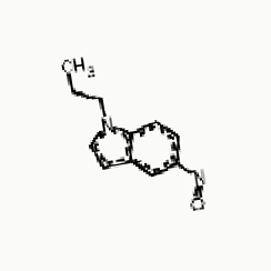 CCCn1ccc2cc(N=O)ccc21